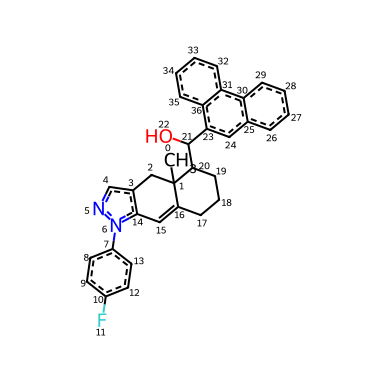 CC12Cc3cnn(-c4ccc(F)cc4)c3C=C1CCCC2C(O)c1cc2ccccc2c2ccccc12